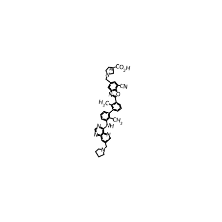 Cc1c(Nc2ncnc3cc(CN4CCCC4)cnc23)cccc1-c1cccc(-c2nc3cc(CN4CC[C@@H](C(=O)O)C4)cc(C#N)c3o2)c1C